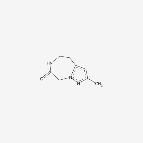 Cc1cc2n(n1)CC(=O)NCC2